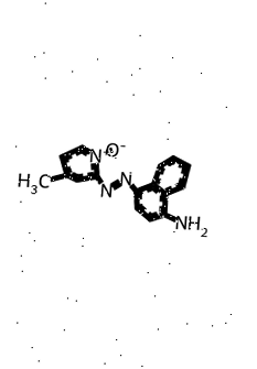 Cc1cc[n+]([O-])c(N=Nc2ccc(N)c3ccccc23)c1